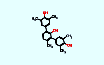 Cc1cc(-c2ccc(C)c(-c3cc(C)c(O)c(C)c3)c2O)cc(C)c1O